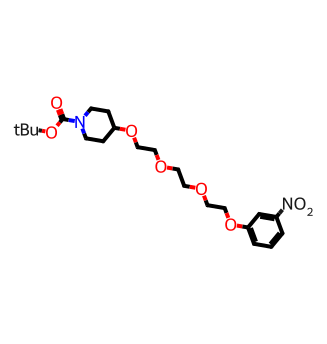 CC(C)(C)OC(=O)N1CCC(OCCOCCOCCOc2cccc([N+](=O)[O-])c2)CC1